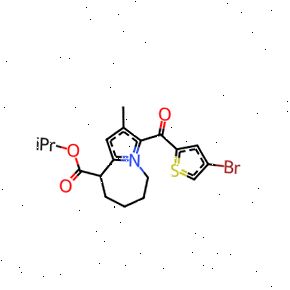 Cc1cc2n(c1C(=O)c1cc(Br)cs1)CCCCC2C(=O)OC(C)C